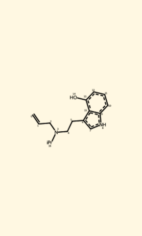 C=CCN(CCc1c[nH]c2cccc(O)c12)C(C)C